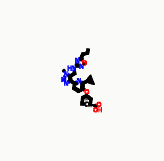 CCCc1nc(NCc2c(-c3ccc(O[C@H]4CCC[C@H](C(=O)O)C4)c(C4CC4)n3)nnn2C)no1